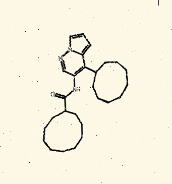 O=C(Nc1cnn2cccc2c1C1CCCCCCCC1)C1CCCCCCCCC1